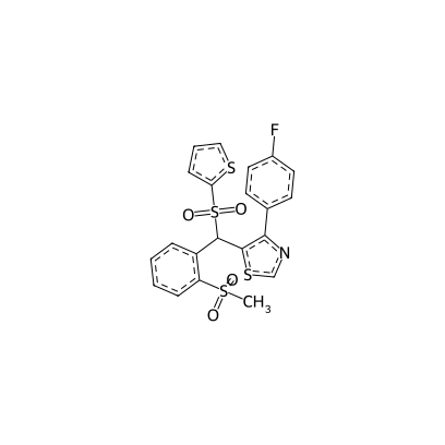 CS(=O)(=O)c1ccccc1C(c1scnc1-c1ccc(F)cc1)S(=O)(=O)c1cccs1